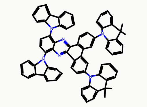 CC1(C)c2ccccc2N(c2ccc3c(c2)c2cc(N4c5ccccc5C(C)(C)c5ccccc54)ccc2c2nc4c(-n5c6ccccc6c6ccccc65)ccc(-n5c6ccccc6c6ccccc65)c4nc32)c2ccccc21